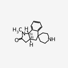 CN1C(=O)C[C@H]2CC3(CCNCC3)c3ccccc3[C@H]21